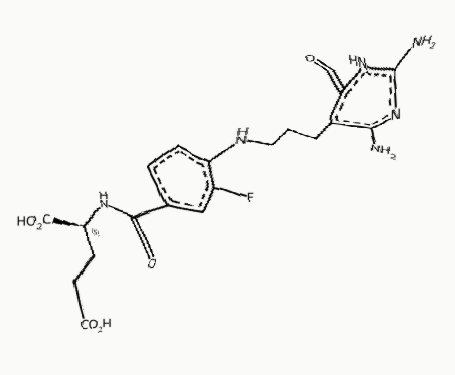 Nc1nc(N)c(CCCNc2ccc(C(=O)N[C@@H](CCC(=O)O)C(=O)O)cc2F)c(=O)[nH]1